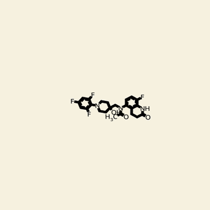 CC(=O)N(CC1(O)CCN(c2c(F)cc(F)cc2F)CC1)c1ccc(F)c2c1CCC(=O)N2